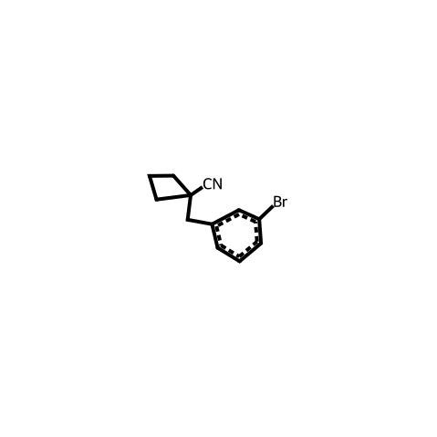 N#CC1(Cc2cccc(Br)c2)CCC1